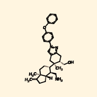 C=C1CC[C@H]2[C@H](CN)[C@@H]([C@@]3(C)Cc4cn(-c5ccc(Oc6ccccc6)cc5)nc4C[C@@H]3CO)CC[C@]12C